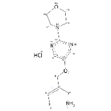 Cl.NC/C(=C\F)COc1cnc(N2CCOCC2)nc1